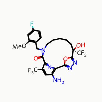 COc1cc(F)ccc1CN1CCCCC[C@](O)(C(F)(F)F)c2nnc(o2)-c2nc(c(C(F)(F)F)cc2N)C1=O